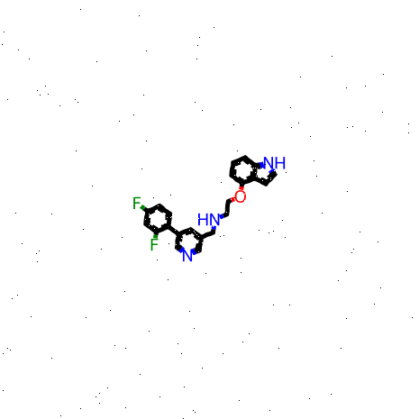 Fc1ccc(-c2cncc(CNCCOc3cccc4[nH]ccc34)c2)c(F)c1